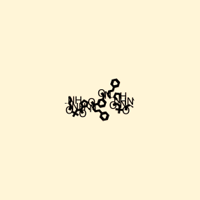 CN[C@@H](C)C(=O)N[C@H](C(=O)C1CCC[C@H]1CN(CCc1ccccc1)C(=O)c1cccc(C(=O)N(CCc2ccccc2)C[C@@H]2CCCN2C(=O)[C@@H](NC(=O)[C@H](C)NC)C(C)(C)C)c1)C(C)(C)C